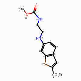 CCOC(=O)c1cc2ccc(NCCNC(=O)OC(C)(C)C)cc2s1